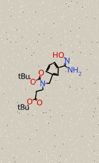 CC(C)(C)OC(=O)CCN(Cc1cccc(/C(N)=N\O)c1)C(=O)OC(C)(C)C